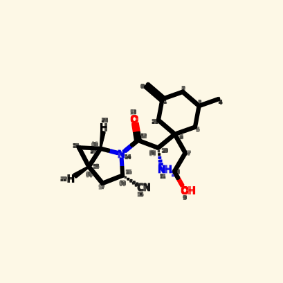 C=C1CC(C)CC(CCO)([C@H](N)C(=O)N2[C@H](C#N)C[C@@H]3C[C@@H]32)C1